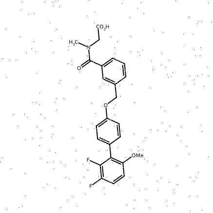 COc1ccc(F)c(F)c1-c1ccc(OCc2cccc(C(=O)N(C)CC(=O)O)c2)cc1